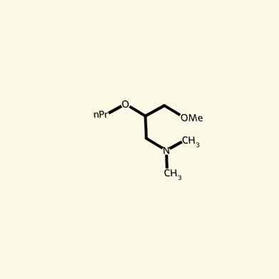 CCCOC(COC)CN(C)C